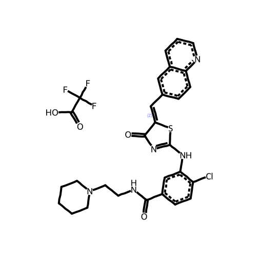 O=C(O)C(F)(F)F.O=C1N=C(Nc2cc(C(=O)NCCN3CCCCC3)ccc2Cl)S/C1=C\c1ccc2ncccc2c1